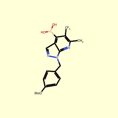 COc1ccc(Cn2ncc3c(B(O)O)c(C(F)(F)F)c(C)nc32)cc1